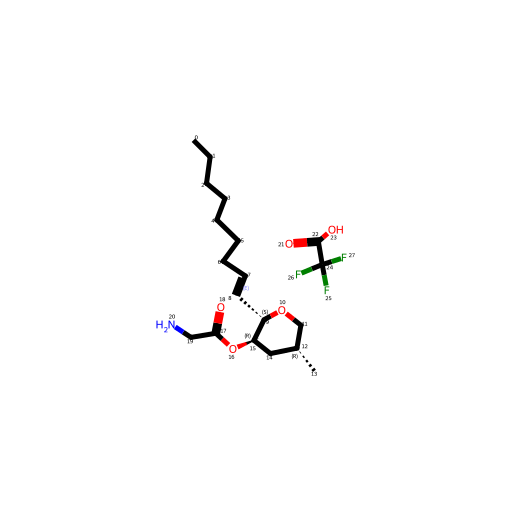 CCCCCCC/C=C/[C@@H]1OC[C@H](C)C[C@H]1OC(=O)CN.O=C(O)C(F)(F)F